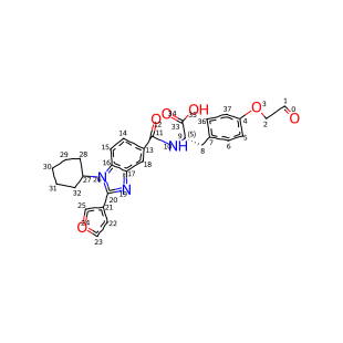 O=CCOc1ccc(C[C@H](NC(=O)c2ccc3c(c2)nc(-c2ccoc2)n3C2CCCCC2)C(=O)O)cc1